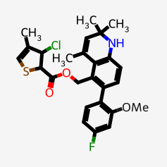 COc1cc(F)ccc1-c1ccc2c(c1COC(=O)C1SC=C(C)C1Cl)C(C)=CC(C)(C)N2